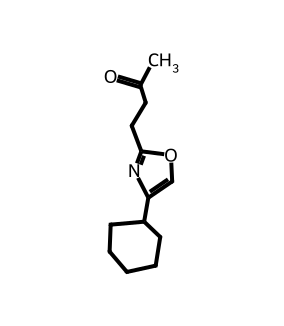 CC(=O)CCc1nc(C2CCCCC2)co1